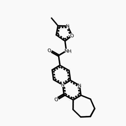 Cc1cc(NC(=O)c2ccn3c(=O)c4c(nc3c2)CCCCC4)on1